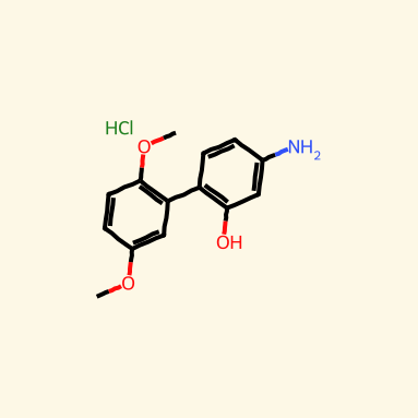 COc1ccc(OC)c(-c2ccc(N)cc2O)c1.Cl